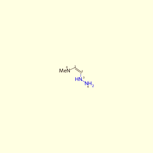 CN/C=C\NN